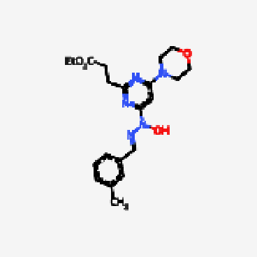 CCOC(=O)CCc1nc(N2CCOCC2)cc(N(O)N=Cc2cccc(C)c2)n1